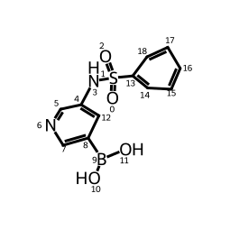 O=S(=O)(Nc1cncc(B(O)O)c1)c1ccccc1